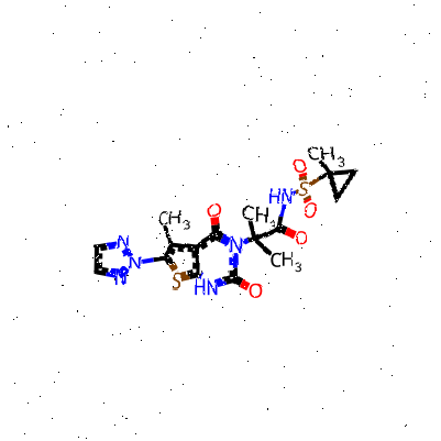 Cc1c(-n2nccn2)sc2[nH]c(=O)n(C(C)(C)C(=O)NS(=O)(=O)C3(C)CC3)c(=O)c12